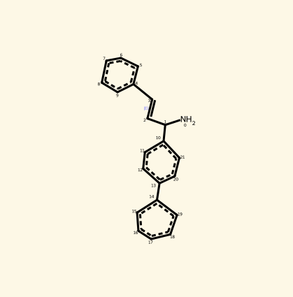 NC(/C=C/c1ccccc1)c1ccc(-c2ccccc2)cc1